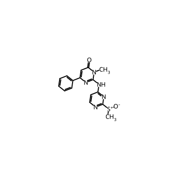 Cn1c(Nc2ccnc([S+](C)[O-])n2)nc(-c2ccccc2)cc1=O